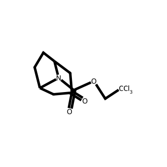 O=C1CC2CCC(C1)N2C(=O)OCC(Cl)(Cl)Cl